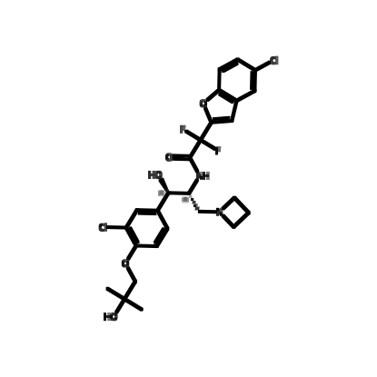 CC(C)(O)COc1ccc([C@@H](O)[C@@H](CN2CCC2)NC(=O)C(F)(F)c2cc3cc(Cl)ccc3o2)cc1Cl